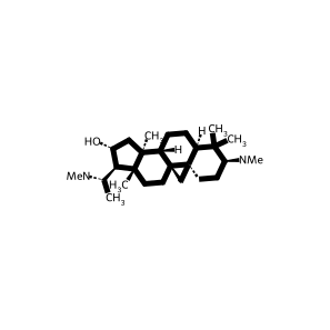 CN[C@@H](C)[C@H]1[C@H](O)C[C@@]2(C)[C@@H]3CC[C@H]4C(C)(C)[C@@H](NC)CC[C@@]45C[C@@]35CC[C@]12C